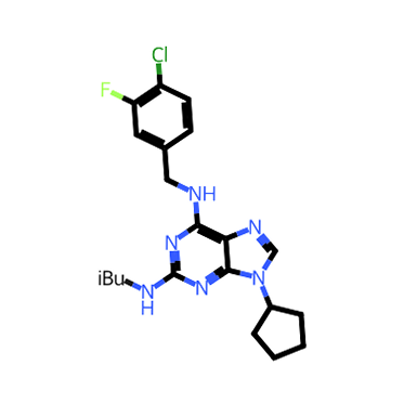 CCC(C)Nc1nc(NCc2ccc(Cl)c(F)c2)c2ncn(C3CCCC3)c2n1